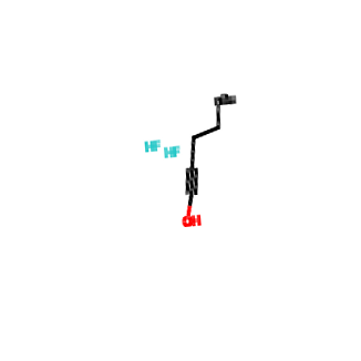 CCCCCCC#CO.F.F